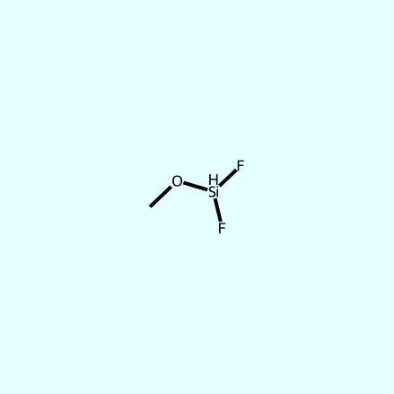 CO[SiH](F)F